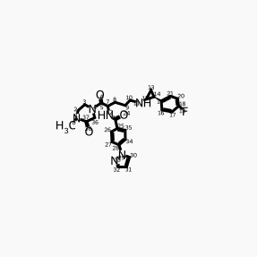 CN1CCN(C(=O)C(CCCN[C@@H]2C[C@H]2c2ccc(F)cc2)NC(=O)c2ccc(-n3cccn3)cc2)CC1=O